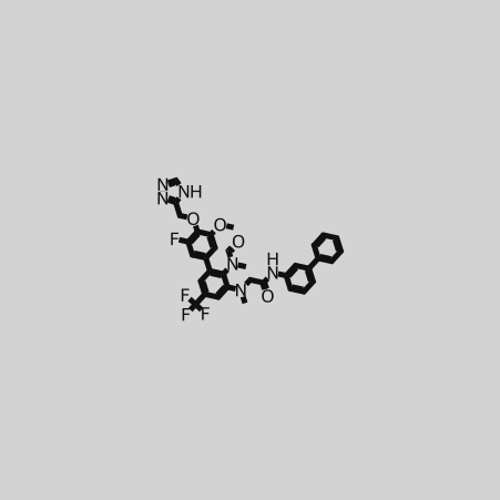 COc1cc(-c2cc(C(F)(F)F)cc(N(C)CC(=O)Nc3cccc(-c4ccccc4)c3)c2N(C)C=O)cc(F)c1OCc1nnc[nH]1